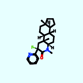 CN1C(=O)[C@@](F)(c2ccccn2)C[C@]2(C)[C@H]3CC[C@]4(C)CCC[C@H]4[C@@H]3CC[C@@H]12